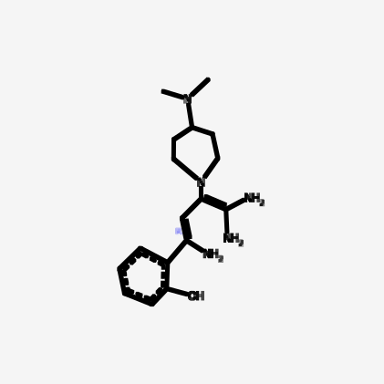 CN(C)C1CCN(C(/C=C(\N)c2ccccc2O)=C(N)N)CC1